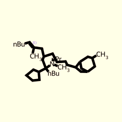 CCCC/C=C(\C)CC(CCCCC1CC2CC(C)CC1C2)CC(CCCC)(C1CCCC1)N(C)CCC